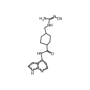 N#C/N=C(/N)NCC1CCC(C(=O)Nc2ccnc3[nH]ccc23)CC1